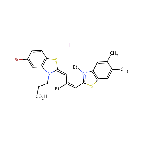 CCC(=Cc1sc2cc(C)c(C)cc2[n+]1CC)C=C1Sc2ccc(Br)cc2N1CCC(=O)O.[I-]